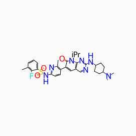 Cc1cccc(S(=O)(=O)Nc2ccc(-c3cc4cnc(NC5CCC(N(C)C)CC5)nc4n(C(C)C)c3=O)c(C)n2)c1F